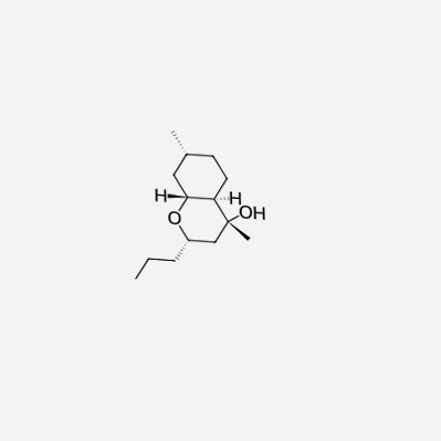 CCC[C@H]1C[C@@](C)(O)[C@@H]2CC[C@@H](C)C[C@H]2O1